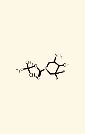 CC(C)(C)OC(=O)N1CC(N)C(O)C(F)(F)C1